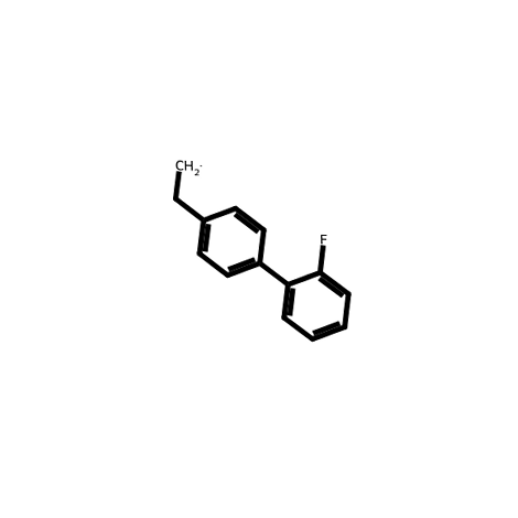 [CH2]Cc1ccc(-c2ccccc2F)cc1